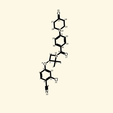 CC1(C)[C@@H](Oc2ccc(C#N)c(Cl)c2)CN1C(=O)c1ccc(N2CCC(=O)CC2)cc1